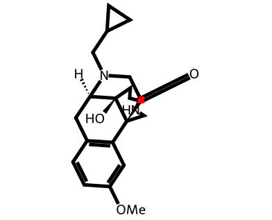 COc1ccc2c(c1)[C@]13CCN(CC4CC4)[C@H](C2)[C@]1(O)CCC(=O)NC3